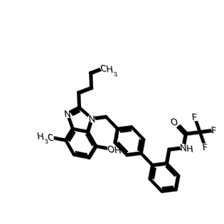 CCCCc1nc2c(C)ccc(O)c2n1Cc1ccc(-c2ccccc2CNC(=O)C(F)(F)F)cc1